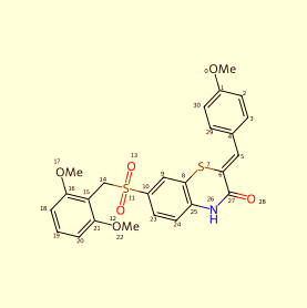 COc1ccc(/C=C2\Sc3cc(S(=O)(=O)Cc4c(OC)cccc4OC)ccc3NC2=O)cc1